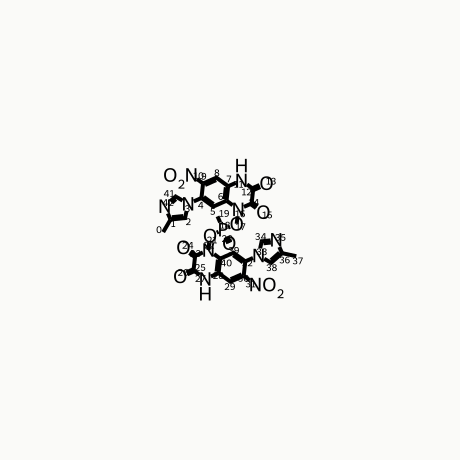 Cc1cn(-c2cc3c(cc2[N+](=O)[O-])[nH]c(=O)c(=O)n3OP(C)(=O)On2c(=O)c(=O)[nH]c3cc([N+](=O)[O-])c(-n4cnc(C)c4)cc32)cn1